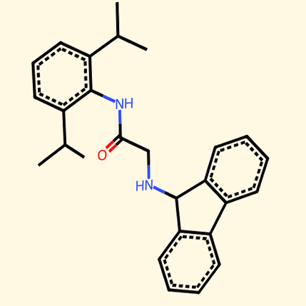 CC(C)c1cccc(C(C)C)c1NC(=O)CNC1c2ccccc2-c2ccccc21